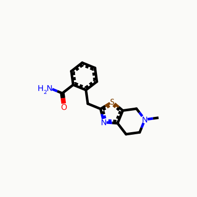 CN1CCc2nc(Cc3ccccc3C(N)=O)sc2C1